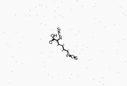 O=C(O)C(CCCCN=C=S)N=C=S